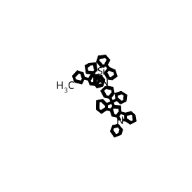 Cc1cccc(-c2ccc(N(c3ccc(C4(c5ccccc5)c5ccccc5-c5cc6c(cc54)c4ccccc4n6-c4ccccc4)cc3)c3cccc4c3[Si]3(c5ccccc5-c5ccccc53)c3ccccc3-4)cc2)c1